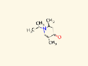 C=C1CC(=O)C(C)=CN1C(C)C